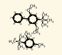 COc1c[c]([Sn]([CH3])([CH3])[CH3])c(OC)cc1-c1ccccc1.Cc1cc[c]([Sn]([CH3])([CH3])[CH3])c(C)c1